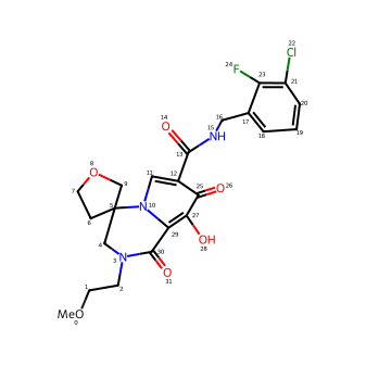 COCCN1CC2(CCOC2)n2cc(C(=O)NCc3cccc(Cl)c3F)c(=O)c(O)c2C1=O